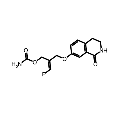 NC(=O)OCC(=CF)COc1ccc2c(c1)C(=O)NCC2